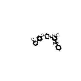 O=C1CCCN1c1ccc(SN2CCN(c3cc(C(F)(F)C4CCCCC4)cc(Cl)n3)CC2)cc1